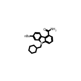 CCCCc1c[c]c2c3c(C(N)=O)cccc3n(CC3CCCCC3)c2c1